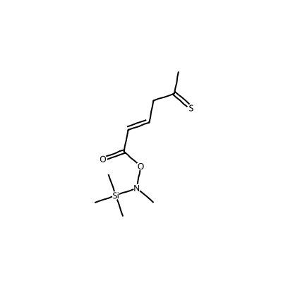 CC(=S)CC=CC(=O)ON(C)[Si](C)(C)C